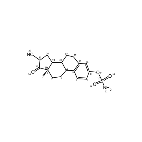 C[C@]12CCC3c4ccc(OS(N)(=O)=O)cc4CCC3C1CC(C#N)C2=O